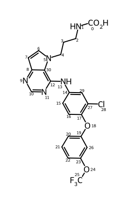 O=C(O)NCCCn1ccc2ncnc(Nc3ccc(Oc4cccc(OC(F)(F)F)c4)c(Cl)c3)c21